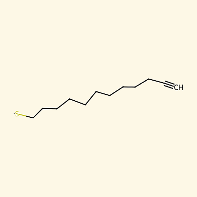 C#CCCCCCCCCCC[S]